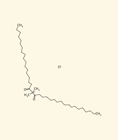 CCCCCCCCCCCCCCCCCC(=O)[N+](C)(C)C(=O)CCCCCCCCCCCCCCCCC.[Cl-]